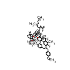 COCCN(C)CC1(COc2nc3c4c(nc(-c5cc(N(Cc6ccc(OC)cc6)Cc6ccc(OC)cc6)c(F)c(C)c5C(F)(F)F)c(F)c4n2)O[C@@H](C)[C@@H]2[C@@H]4CC[C@H](CN32)N4C(=O)OC(C)(C)C)CC1(F)F